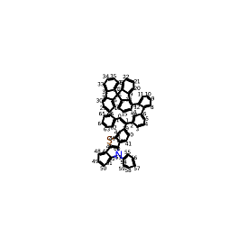 C(=C(\c1cccc(-c2ccccc2-c2cccc3c2-c2ccccc2C32c3ccccc3-c3ccccc32)c1)c1ccc2c(c1)sc1c3ccccc3n(-c3ccccc3)c21)/c1ccccc1